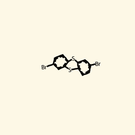 Brc1ccc2c(c1)Sc1ccc(Br)cc1S2